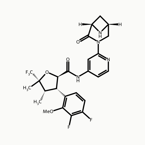 COc1c([C@H]2[C@H](C(=O)Nc3ccnc(N4C[C@H]5C[C@H](N5)C4=O)c3)O[C@@](C)(C(F)(F)F)[C@H]2C)ccc(F)c1F